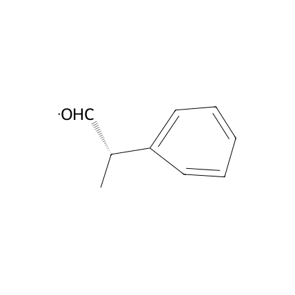 C[C@H]([C]=O)c1ccccc1